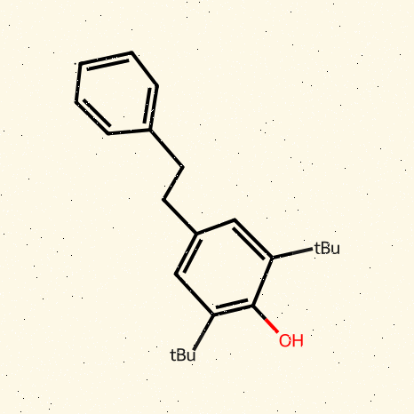 CC(C)(C)c1cc(CCc2cc[c]cc2)cc(C(C)(C)C)c1O